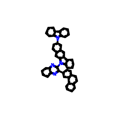 c1ccc2c(c1)ccc1ccc(-c3nc4ccccc4nc3-n3c4ccccc4c4cc5cc(-n6c7ccccc7c7ccccc76)ccc5cc43)cc12